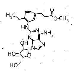 CCc1ccc(CCC(=O)OC)cc1Nc1nc(N)c2ncn([C@@H]3O[C@H](CO)[C@@H](O)[C@H]3O)c2n1